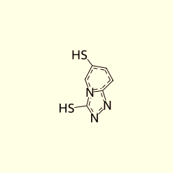 Sc1ccc2nnc(S)n2c1